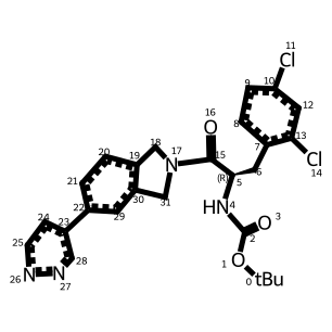 CC(C)(C)OC(=O)N[C@H](Cc1ccc(Cl)cc1Cl)C(=O)N1Cc2ccc(-c3ccnnc3)cc2C1